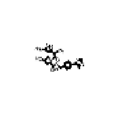 Cc1ncsc1-c1ccc(CNC(=O)C2CC(O)CN2C(=O)C(c2cc(C(C)(C)C)no2)C(C)C)cc1